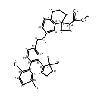 COC(=O)[C@H]1CC[C@@]12CCCc1ccc(OCc3ccc(-c4cc(C)ccc4F)c(C4=CCCC4(C)C)c3)cc12